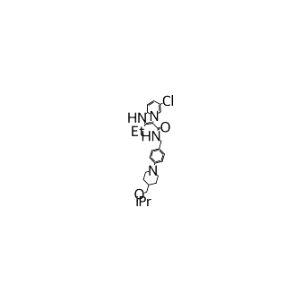 CCC1=C(C(=O)NCc2ccc(N3CCC(COC(C)C)CC3)cc2)N2C=C(Cl)C=CC2N1